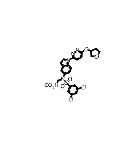 O=C(O)CN(c1ccc2c(ccn2-c2ccc(OC3CCOC3)nn2)c1)S(=O)(=O)c1cc(Cl)cc(Cl)c1